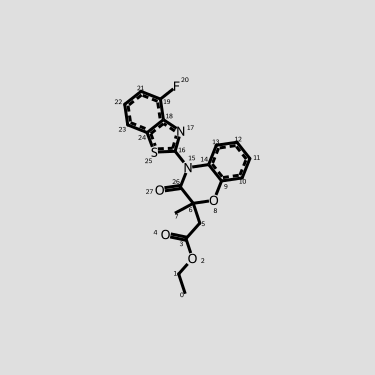 CCOC(=O)CC1(C)Oc2ccccc2N(c2nc3c(F)cccc3s2)C1=O